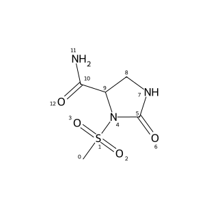 CS(=O)(=O)N1C(=O)NCC1C(N)=O